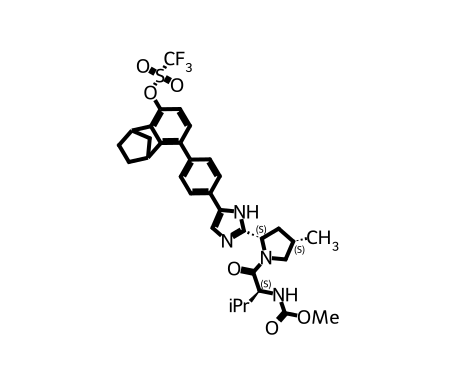 COC(=O)N[C@H](C(=O)N1C[C@@H](C)C[C@H]1c1ncc(-c2ccc(-c3ccc(OS(=O)(=O)C(F)(F)F)c4c3C3CCC4C3)cc2)[nH]1)C(C)C